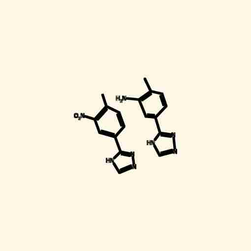 Cc1ccc(-c2nnc[nH]2)cc1N.Cc1ccc(-c2nnc[nH]2)cc1[N+](=O)[O-]